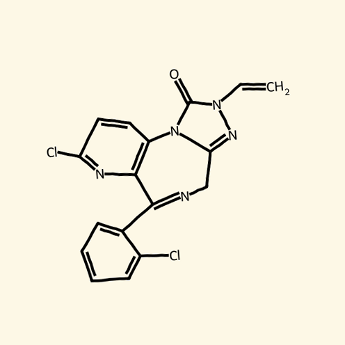 C=Cn1nc2n(c1=O)-c1ccc(Cl)nc1C(c1ccccc1Cl)=NC2